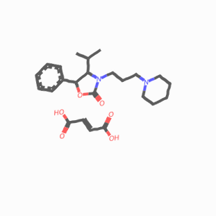 CC(C)C1C(c2ccccc2)OC(=O)N1CCCN1CCCCC1.O=C(O)/C=C/C(=O)O